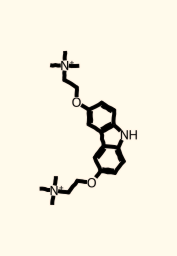 C[N+](C)(C)CCOc1ccc2[nH]c3ccc(OCC[N+](C)(C)C)cc3c2c1